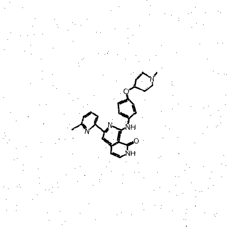 Cc1cccc(-c2cc3cc[nH]c(=O)c3c(Nc3ccc(OC4CCN(C)CC4)cc3)n2)n1